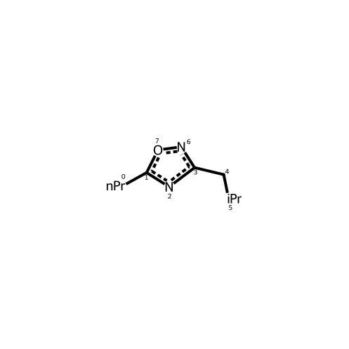 CCCc1nc(CC(C)C)no1